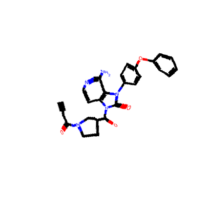 C#CC(=O)N1CCC(C(=O)n2c(=O)n(-c3ccc(Oc4ccccc4)cc3)c3c(N)nccc32)C1